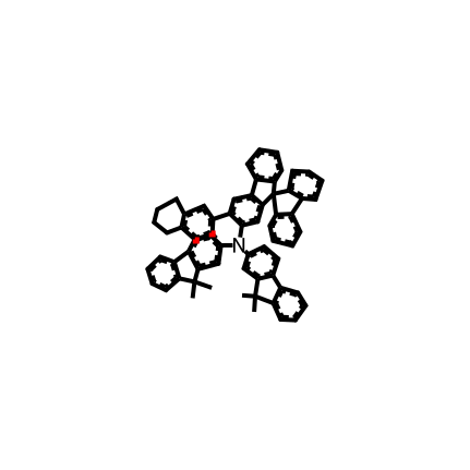 Cc1cc2c(cc1-c1cc3c(cc1N(c1ccc4c(c1)C(C)(C)c1ccccc1-4)c1ccc4c(c1)C(C)(C)c1ccccc1-4)C1(c4ccccc4-c4ccccc41)c1ccccc1-3)CCCC2